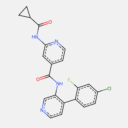 O=C(Nc1cnccc1-c1ccc(Cl)cc1F)c1ccnc(NC(=O)C2CC2)c1